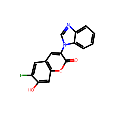 O=c1oc2cc(O)c(F)cc2cc1-n1cnc2ccccc21